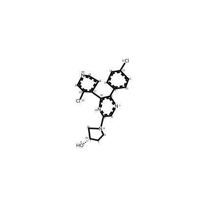 O[C@H]1CCN(c2cnc(-c3ccc(Cl)cc3)c(-c3ccncc3Cl)n2)C1